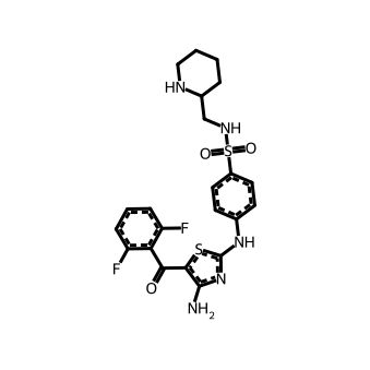 Nc1nc(Nc2ccc(S(=O)(=O)NCC3CCCCN3)cc2)sc1C(=O)c1c(F)cccc1F